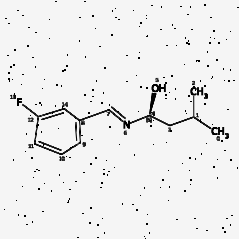 CC(C)C[C@H](O)N=Cc1cccc(F)c1